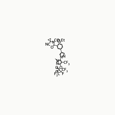 CCOC(=O)N(C(=O)c1cc(-c2cnn(-c3c(C(F)(F)F)c(OS(=O)(=O)C(F)(C(F)(F)F)C(F)(F)F)nn3C)c2)ccc1Cl)C1(C#N)CC1